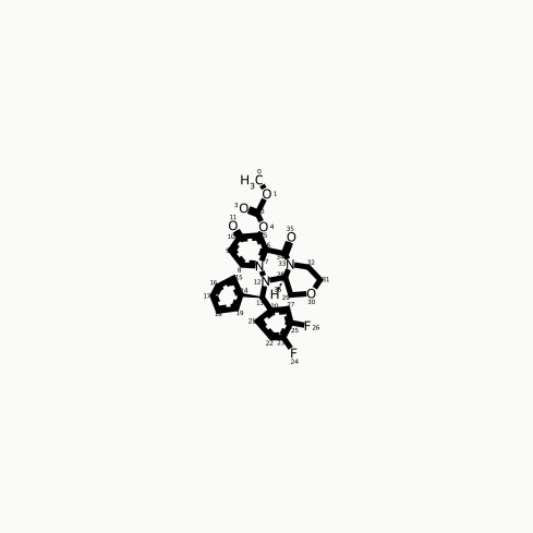 COC(=O)Oc1c2n(ccc1=O)N([C@H](c1ccccc1)c1ccc(F)c(F)c1)[C@@H]1COCCN1C2=O